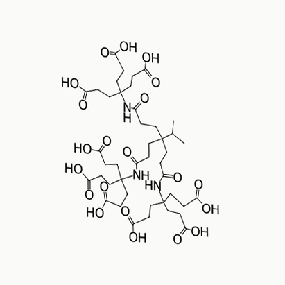 CC(C)C(CCC(=O)NC(CCC(=O)O)(CCC(=O)O)CCC(=O)O)(CCC(=O)NC(CCC(=O)O)(CCC(=O)O)CCC(=O)O)CCC(=O)NC(CCC(=O)O)(CCC(=O)O)CCC(=O)O